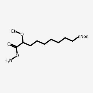 CCCCCCCCCCCCCCCCC(OCC)C(=O)ON